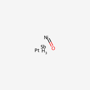 [O]=[Ni].[Pt].[SbH3]